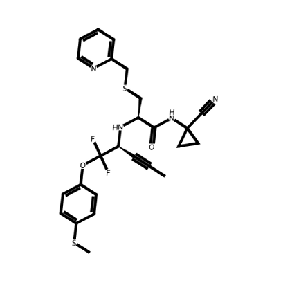 CC#C[C@H](N[C@@H](CSCc1ccccn1)C(=O)NC1(C#N)CC1)C(F)(F)Oc1ccc(SC)cc1